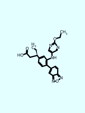 CCOc1ncc(Nc2cc([C@H](CC)CC(=O)O)ccc2-c2ccc3nonc3c2)cn1